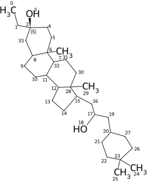 CC[C@]1(O)CCC2(C)C(CCC3C4CCC(CC(O)CC5CCC(C)(C)CC5)C4(C)CCC32)C1